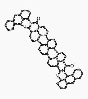 O=c1c2ccc3c4ccc5c6ccc7c(=O)n8c(nc9cccc%10cc%11ccccc%11c8c%109)c8ccc(c9ccc(c%10ccc(c2c3%10)c2nc3c%10ccccc%10cc%10cccc(c%103)n12)c4c59)c6c78